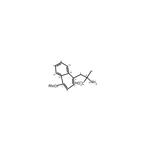 COc1ccc(CC(C)(N)C(=O)O)c2ccccc12